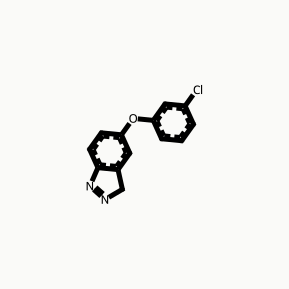 Clc1cccc(Oc2ccc3c(c2)CN=N3)c1